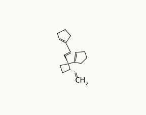 C=C[C@@H]1CC[C@]1(C=CC1=CCCC1)C1=CCCC1